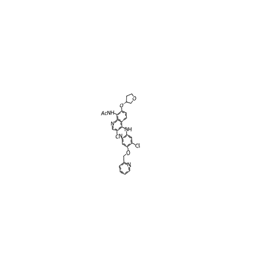 CC(=O)Nc1c(OC2CCOC2)ccc2c(Nc3ccc(OCc4ccccn4)c(Cl)c3)c(C#N)cnc12